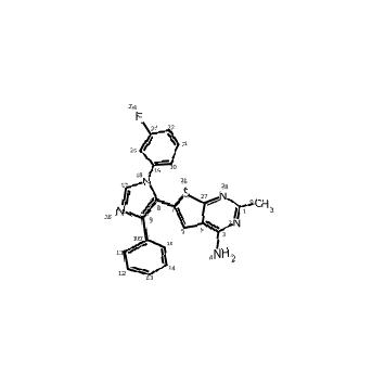 Cc1nc(N)c2cc(-c3c(-c4ccccc4)ncn3-c3cccc(F)c3)sc2n1